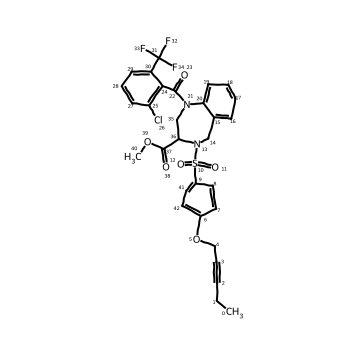 CCC#CCOc1ccc(S(=O)(=O)N2Cc3ccccc3N(C(=O)c3c(Cl)cccc3C(F)(F)F)CC2C(=O)OC)cc1